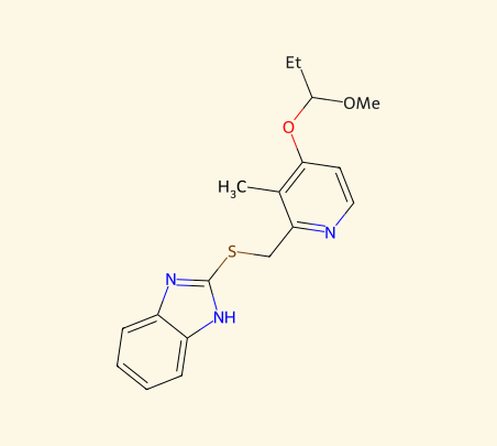 CCC(OC)Oc1ccnc(CSc2nc3ccccc3[nH]2)c1C